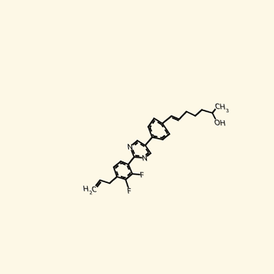 C=CCc1ccc(-c2ncc(-c3ccc(C=CCCCC(C)O)cc3)cn2)c(F)c1F